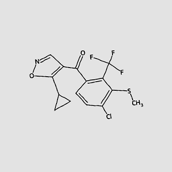 CSc1c(Cl)ccc(C(=O)c2cnoc2C2CC2)c1C(F)(F)F